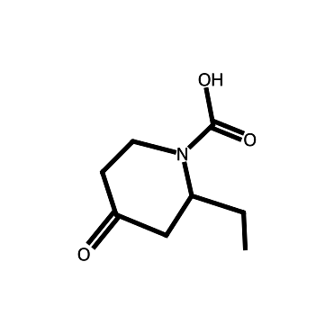 CCC1CC(=O)CCN1C(=O)O